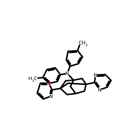 Cc1ccc(N(c2ccc(C)cc2)C23CC4CC(c5ncccn5)(CC(c5ncccn5)(C4)C2)C3)cc1